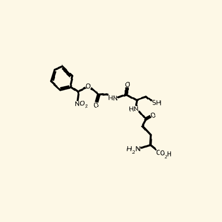 NC(CCC(=O)NC(CS)C(=O)NCC(=O)OC(c1ccccc1)[N+](=O)[O-])C(=O)O